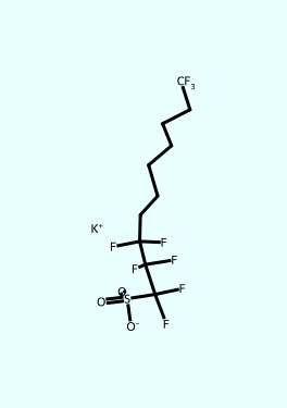 O=S(=O)([O-])C(F)(F)C(F)(F)C(F)(F)CCCCCCC(F)(F)F.[K+]